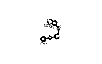 COc1cccc(C2CC(c3ccnc(CNC(=O)c4ccc5c(c4)[C@](C)(C#N)COC5)c3)C2)c1